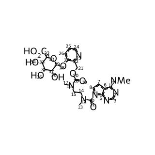 CNc1ncnc2c1ccn2C(=O)N(C)CCN(C)C(=O)OCc1ncccc1O[C@@H]1O[C@H](C(=O)O)[C@@H](O)[C@H](O)[C@H]1O